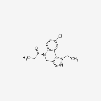 CCC(=O)N1Cc2cnn(CC)c2-c2cc(Cl)ccc21